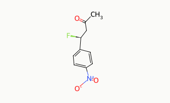 CC(=O)C[C@H](F)c1ccc([N+](=O)[O-])cc1